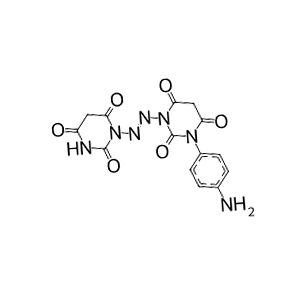 Nc1ccc(N2C(=O)CC(=O)N(N=NN3C(=O)CC(=O)NC3=O)C2=O)cc1